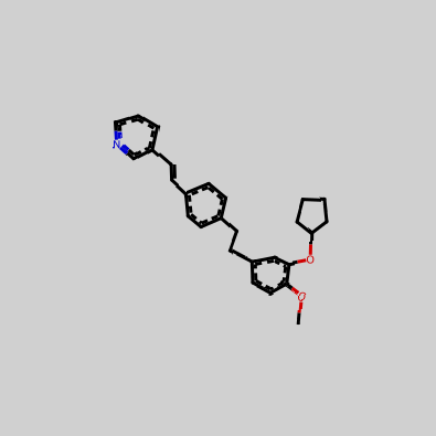 COc1ccc(CCc2ccc(C=Cc3cccnc3)cc2)cc1OC1CCCC1